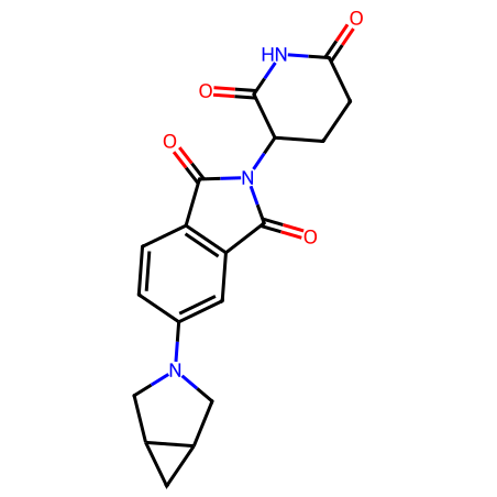 O=C1CCC(N2C(=O)c3ccc(N4CC5CC5C4)cc3C2=O)C(=O)N1